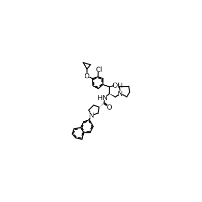 O=C(N[C@H](CN1CCCC1)[C@H](O)c1ccc(OC2CC2)c(Cl)c1)[C@H]1CCN(c2ccc3ccccc3c2)C1